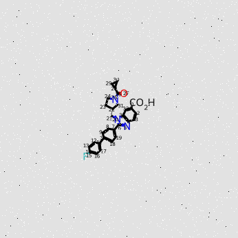 O=C(O)c1ccc2nc(-c3ccc(-c4ccc(F)cc4)cc3)n(C[C@@H]3CCN(C(=O)C4CC4)C3)c2c1